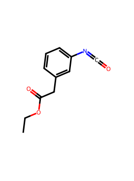 CCOC(=O)Cc1cccc(N=C=O)c1